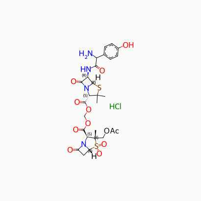 CC(=O)OC[C@@]1(C)[C@H](C(=O)OCOC(=O)[C@@H]2N3C(=O)[C@@H](NC(=O)C(N)c4ccc(O)cc4)[C@H]3SC2(C)C)N2C(=O)C[C@H]2S1(=O)=O.Cl